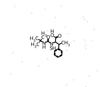 CC(c1ccccc1)C(C(=O)O)N(S)C(=O)NC(C)(C)C